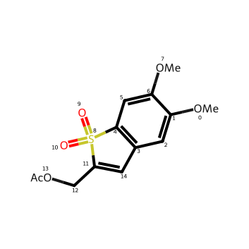 COc1cc2c(cc1OC)S(=O)(=O)C(COC(C)=O)=C2